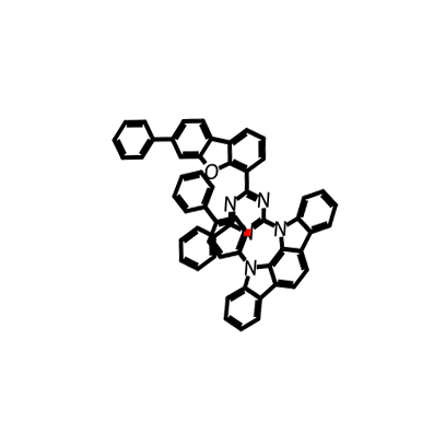 c1ccc(-c2ccc(-n3c4ccccc4c4ccc5c6ccccc6n(-c6nc(-c7ccccc7)nc(-c7cccc8c7oc7cc(-c9ccccc9)ccc78)n6)c5c43)cc2)cc1